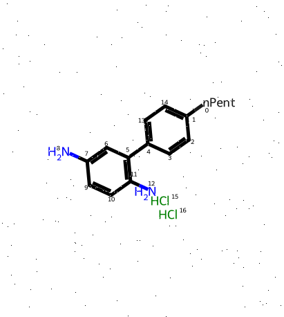 CCCCCc1ccc(-c2cc(N)ccc2N)cc1.Cl.Cl